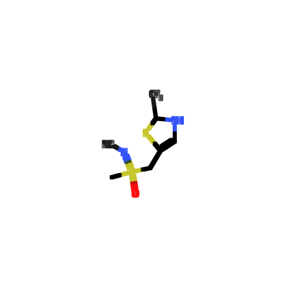 CS(=O)(CC1=CNC(C(F)(F)F)S1)=NC#N